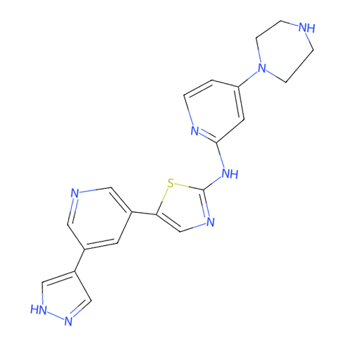 c1cc(N2CCNCC2)cc(Nc2ncc(-c3cncc(-c4cn[nH]c4)c3)s2)n1